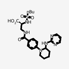 CCCCS(=O)(=O)N[C@@H](CNC(=O)c1ccc(N2CCCCC2Nc2ncccn2)cc1)C(=O)O